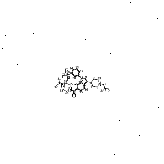 CC(C)CN1CCC(c2cn(-c3cccc(C(F)(F)F)c3)c3cc(C(=O)N4CCN(C(C)C)CC4)ccc23)CC1